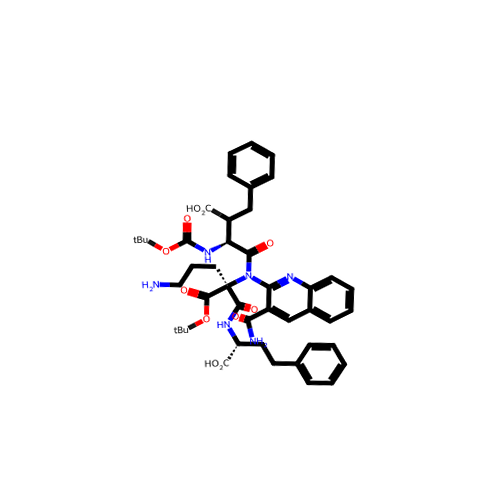 CC(C)(C)OC(=O)N[C@H](C(=O)N(c1nc2ccccc2cc1C(N)=O)[C@@](CCCN)(C(=O)N[C@H](CCc1ccccc1)C(=O)O)C(=O)OC(C)(C)C)C(Cc1ccccc1)C(=O)O